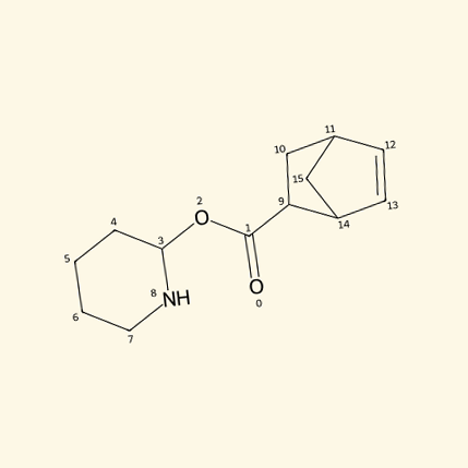 O=C(OC1CCCCN1)C1CC2C=CC1C2